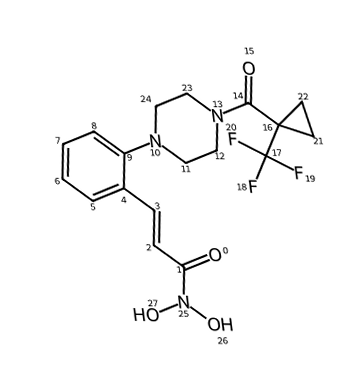 O=C(/C=C/c1ccccc1N1CCN(C(=O)C2(C(F)(F)F)CC2)CC1)N(O)O